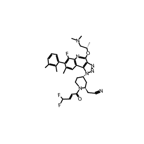 Cc1cccc(-c2c(C)cc3c(nc(O[C@@H](C)CN(C)C)c4nnn([C@H]5CCN(C(=O)/C=C/C(F)F)[C@H](CC#N)C5)c43)c2F)c1C